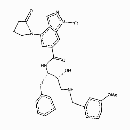 CCn1ncc2c(N3CCCC3=O)cc(C(=O)N[C@@H](Cc3ccccc3)[C@H](O)CNCc3cccc(OC)c3)cc21